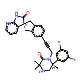 CC1(C)NC[C@@](C)(c2cc(F)cc(F)c2)N(CC#Cc2ccc3c(c2)C[C@@]2(C3)C(=O)Nc3ncccc32)C1=O